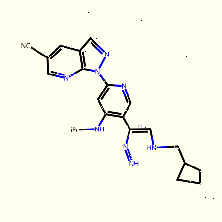 CC(C)Nc1cc(-n2ncc3cc(C#N)cnc32)ncc1/C(=C/NCC1CCC1)N=N